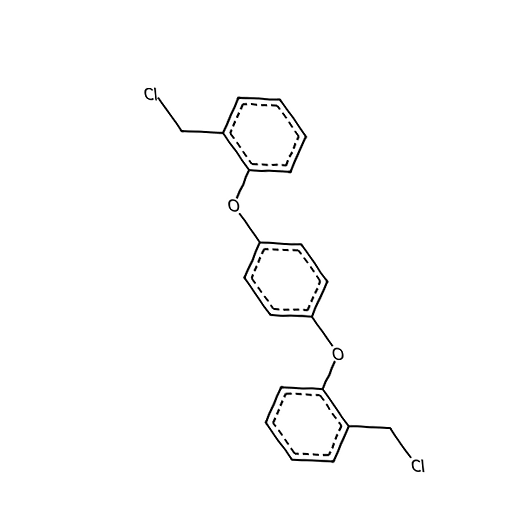 ClCc1ccccc1Oc1ccc(Oc2ccccc2CCl)cc1